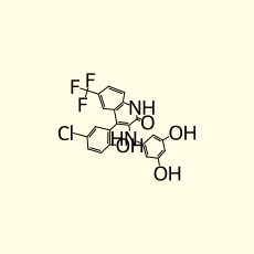 O=c1[nH]c2ccc(C(F)(F)F)cc2c(-c2cc(Cl)ccc2O)c1Nc1cc(O)cc(O)c1